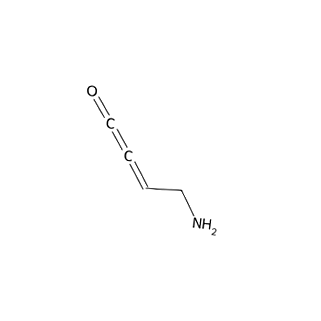 NCC=C=C=O